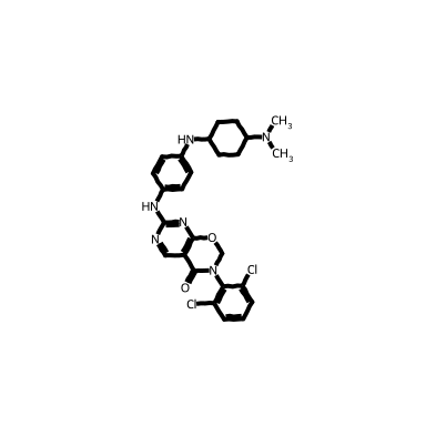 CN(C)C1CCC(Nc2ccc(Nc3ncc4c(n3)OCN(c3c(Cl)cccc3Cl)C4=O)cc2)CC1